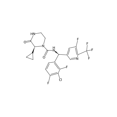 O=C1NCCN(C(=O)N[C@@H](c2cnc(C(F)(F)F)c(F)c2)c2ccc(F)c(Cl)c2F)[C@H]1C1CC1